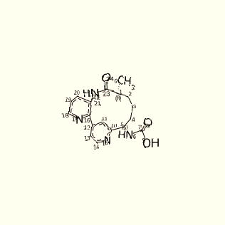 C[C@@H]1CCC[C@H](NC(=O)O)c2cc(ccn2)-c2ncccc2NC1=O